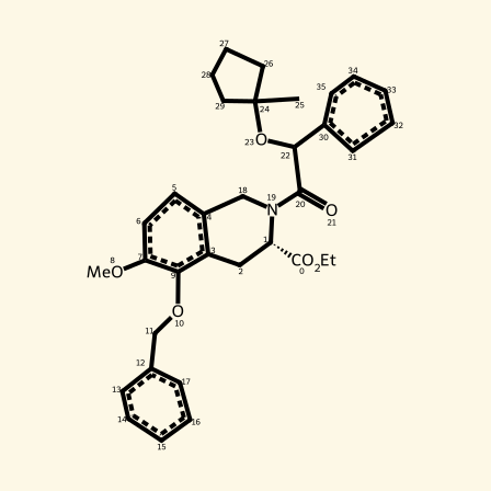 CCOC(=O)[C@@H]1Cc2c(ccc(OC)c2OCc2ccccc2)CN1C(=O)C(OC1(C)CCCC1)c1ccccc1